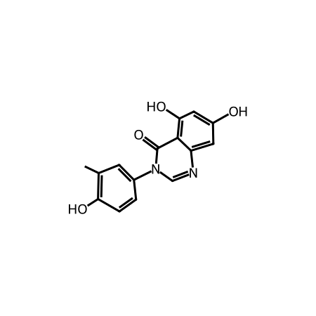 Cc1cc(-n2cnc3cc(O)cc(O)c3c2=O)ccc1O